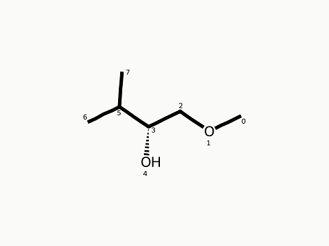 COC[C@H](O)C(C)C